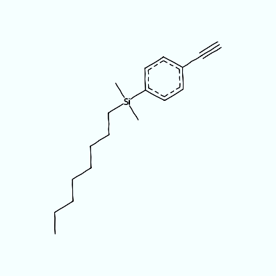 C#Cc1ccc([Si](C)(C)CCCCCCCC)cc1